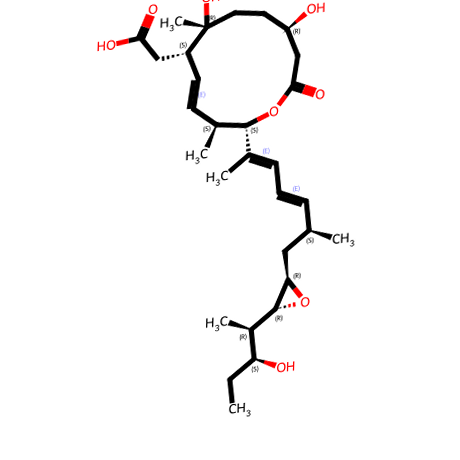 CC[C@H](O)[C@@H](C)[C@H]1O[C@@H]1C[C@H](C)/C=C/C=C(\C)[C@H]1OC(=O)C[C@H](O)CC[C@@](C)(O)[C@@H](CC(=O)O)/C=C/[C@@H]1C